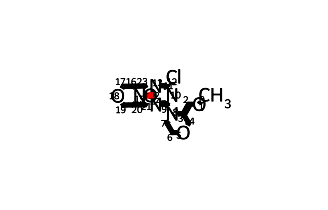 CO/C=C1\COCCN1c1nc(Cl)nc(N2C3COCC2COC3)n1